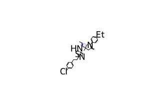 C=C1CC(C)(/C(=C/C)Nc2cnc(CCc3ccc(Cl)cc3)s2)CN1c1ccc(CC)cc1